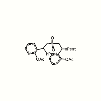 CCCCCC(CS(=O)(=O)CC(CCCCC)c1ccccc1OC(C)=O)c1ccccc1OC(C)=O